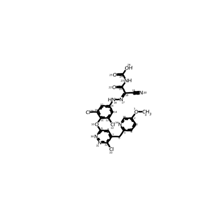 COc1ccc(Cc2cc(Oc3c(Cl)cc(NN=C(C#N)C(=O)NC(=O)O)cc3Cl)nnc2Cl)nc1